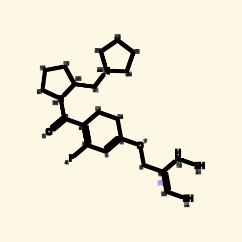 O=C(C1=C(F)C=C(OC/C(=C/S)NS)CC1)N1CCCC1CN1CCCC1